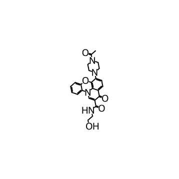 CC(=O)N1CCN(c2ccc3c(=O)c(C(=O)NCCO)cn4c3c2Oc2ccccc2-4)CC1